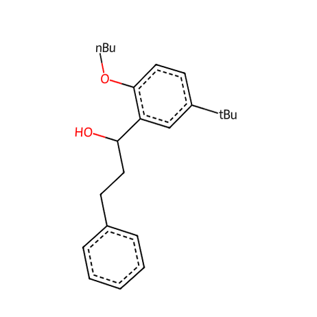 CCCCOc1ccc(C(C)(C)C)cc1C(O)CCc1ccccc1